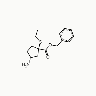 CCS[C@]1(C(=O)OCc2ccccc2)CC[C@@H](N)C1